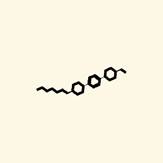 CCCCCCC[C@H]1CC[C@H](c2ccc([C@H]3CC[C@H](CC)CC3)cc2)CC1